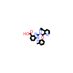 C#Cc1cccnc1C(=O)Nc1nc2c(C(=O)O)cccc2[nH]1.Cc1ccccc1